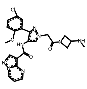 CNC1CN(C(=O)Cn2cc(NC(=O)c3cnn4cccnc34)c(-c3cc(Cl)ccc3OC)n2)C1